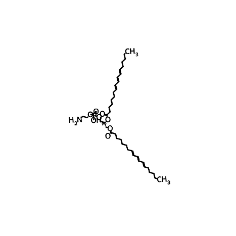 CCCCCC=CC=CC=CCCCCCCC(=O)OC[C@H](COP(=O)(O)OCCN)OC(=O)CCCCCCC=CC=CC=CCCCCC